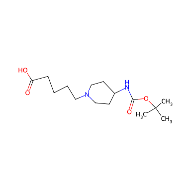 CC(C)(C)OC(=O)NC1CCN(CCCCC(=O)O)CC1